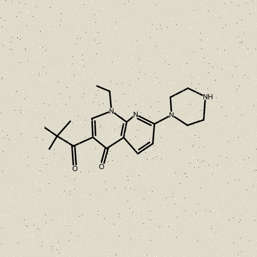 CCn1cc(C(=O)C(C)(C)C)c(=O)c2ccc(N3CCNCC3)nc21